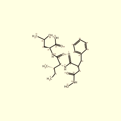 CC[C@H](C)[C@@H](NC(=O)C(CC(=O)NO)Cc1ccccc1)C(=O)N[C@@H](CC(C)C)C(=O)O